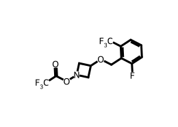 O=C(ON1CC(OCc2c(F)cccc2C(F)(F)F)C1)C(F)(F)F